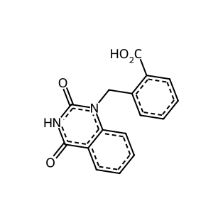 O=C(O)c1ccccc1Cn1c(=O)[nH]c(=O)c2ccccc21